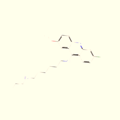 CCCNCCCCCCNc1c2ccc(Cl)cc2nc2ccc(OC)cc12